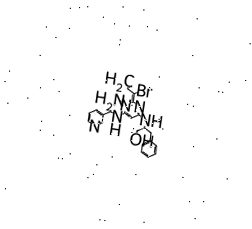 C=C/C(Br)=C1/N=C(N[C@H](CO)Cc2ccccc2)C=C(NCc2cccnc2)N1N